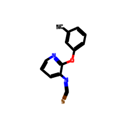 N#Cc1cccc(Oc2ncccc2N=C=S)c1